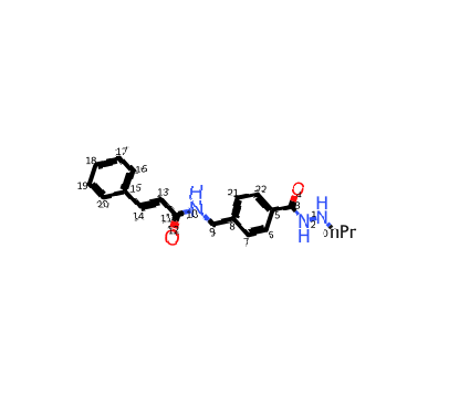 CCCNNC(=O)c1ccc(CNC(=O)C=Cc2ccccc2)cc1